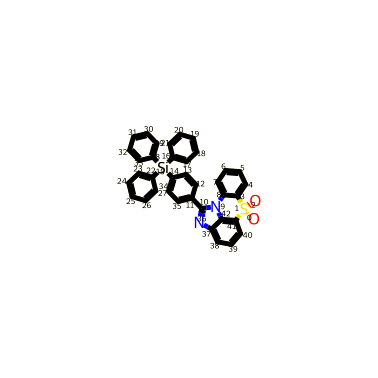 O=S1(=O)c2ccccc2-n2c(-c3ccc([Si](c4ccccc4)(c4ccccc4)c4ccccc4)cc3)nc3cccc1c32